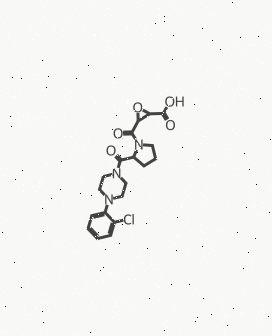 O=C(O)C1OC1C(=O)N1CCCC1C(=O)N1CCN(c2ccccc2Cl)CC1